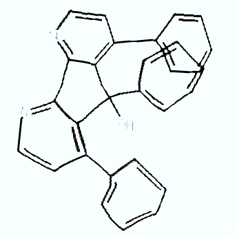 OC1(c2ccccc2)c2c(-c3ccccc3)ccnc2-c2nccc(-c3ccccc3)c21